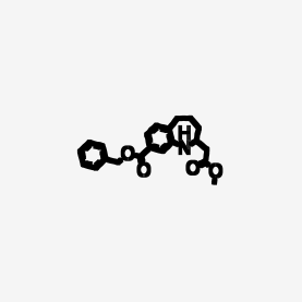 COC(=O)CC1CCCc2ccc(C(=O)OCc3ccccc3)cc2N1